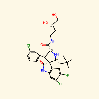 CC(C)(C)C[C@H]1N[C@@H](C(=O)NCC[C@H](O)CO)[C@H](c2cccc(Cl)c2)[C@@]12C(=O)Nc1cc(Cl)c(F)cc12